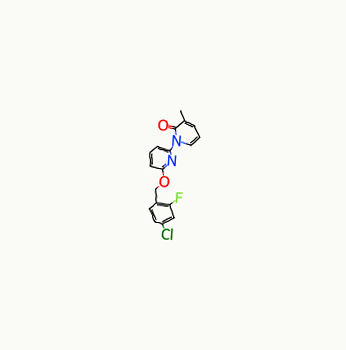 Cc1cccn(-c2cccc(OCc3ccc(Cl)cc3F)n2)c1=O